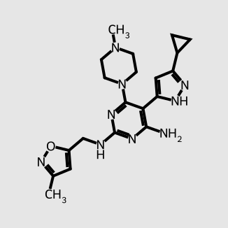 Cc1cc(CNc2nc(N)c(-c3cc(C4CC4)n[nH]3)c(N3CCN(C)CC3)n2)on1